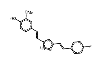 COc1cc(C=Cc2cc(C=Cc3ccc(F)cc3)n[nH]2)ccc1O